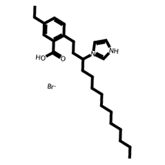 CCCCCCCCCCCC(CCc1ccc(CC)cc1C(=O)O)[n+]1cc[nH]c1.[Br-]